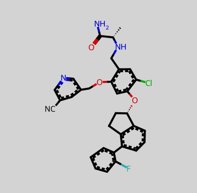 C[C@H](NCc1cc(Cl)c(O[C@H]2CCc3c(-c4ccccc4F)cccc32)cc1OCc1cncc(C#N)c1)C(N)=O